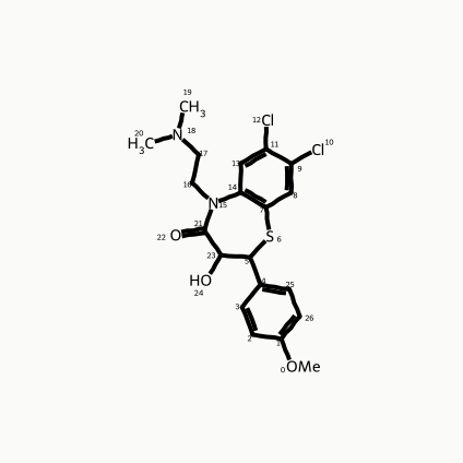 COc1ccc(C2Sc3cc(Cl)c(Cl)cc3N(CCN(C)C)C(=O)C2O)cc1